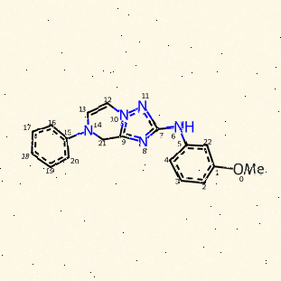 COc1cccc(Nc2nc3n(n2)C=CN(c2ccccc2)C3)c1